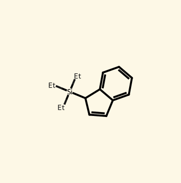 CC[Si](CC)(CC)C1C=Cc2ccccc21